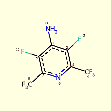 Nc1c(F)c(C(F)(F)F)nc(C(F)(F)F)c1F